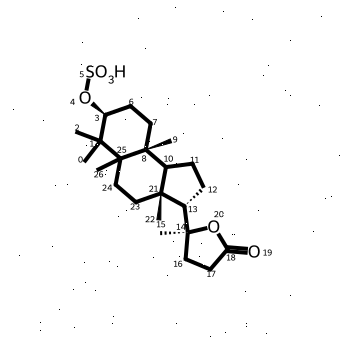 CC1(C)[C@@H](OS(=O)(=O)O)CC[C@]2(C)C3CC[C@H]([C@]4(C)CCC(=O)O4)[C@]3(C)CCC12C